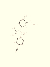 CCSc1cc(C(Nc2ccc(C#N)cc2)C(=O)O)ccc1OC